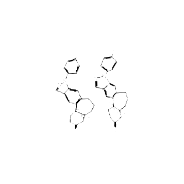 CC[C@@]12CCC(=O)C[C@H]1CCCc1cc3c(cnn3-c3ccc(F)cc3)cc12.CC[C@]12CCC(=O)C[C@@H]1CCCc1cc3c(cnn3-c3ccc(F)cc3)cc12